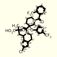 CCC[C@H]1N(C(=O)c2ncccc2C(F)(F)F)CCC[C@]1(Oc1csc(C(F)(F)F)c1)C(=O)N1CCc2cc(Cl)sc2C1CC(C)(C)C(=O)O